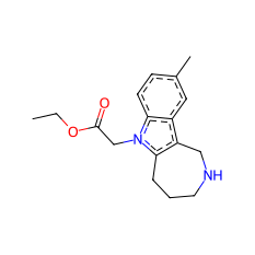 CCOC(=O)Cn1c2c(c3cc(C)ccc31)CNCCC2